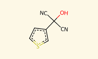 N#CC(O)(C#N)c1ccsc1